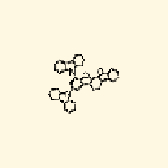 c1ccc2c(c1)oc1c2ccc2c3cc(-n4c5ccccc5c5ccccc54)cc(-n4c5ccccc5c5ccccc54)c3oc21